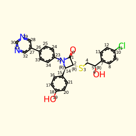 O=C1[C@H](SC[C@H](O)c2ccc(Cl)cc2)[C@@H](c2ccc(O)cc2)N1c1ccc(-c2cncnc2)cc1